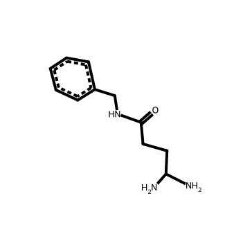 NC(N)CCC(=O)NCc1ccccc1